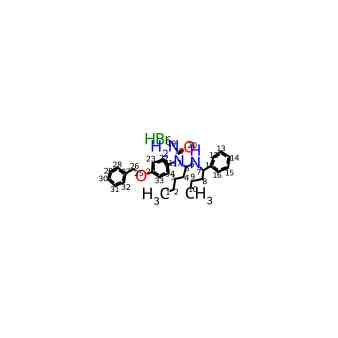 Br.CCCCC(NC(CCC)c1ccccc1)N(C(N)=O)c1ccc(OCc2ccccc2)cc1